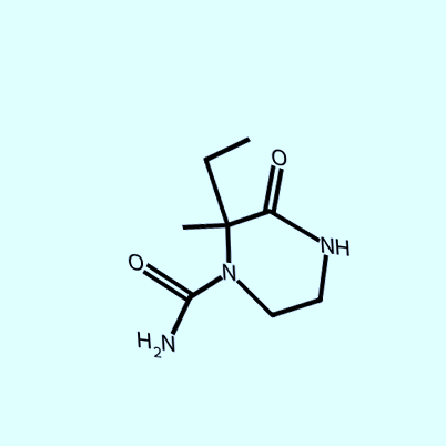 CCC1(C)C(=O)NCCN1C(N)=O